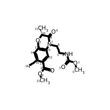 COC(=O)NCCN1C(=O)[C@@H](C)Oc2cc(I)c(C(=O)OC)cc21